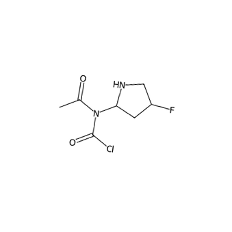 CC(=O)N(C(=O)Cl)C1CC(F)CN1